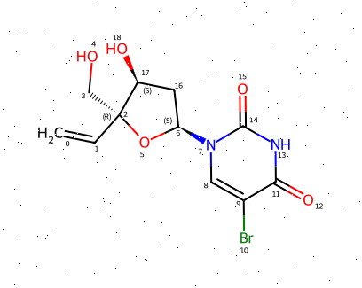 C=C[C@]1(CO)O[C@H](n2cc(Br)c(=O)[nH]c2=O)C[C@@H]1O